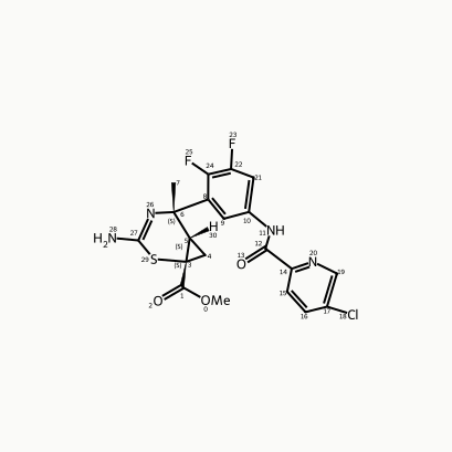 COC(=O)[C@]12C[C@H]1[C@@](C)(c1cc(NC(=O)c3ccc(Cl)cn3)cc(F)c1F)N=C(N)S2